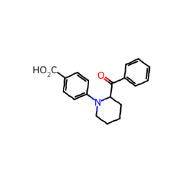 O=C(O)c1ccc(N2CCCCC2C(=O)c2ccccc2)cc1